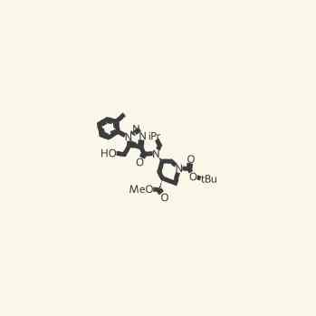 COC(=O)[C@@H]1C[C@H](N(CC(C)C)C(=O)c2nnn(-c3ccccc3C)c2CO)CN(C(=O)OC(C)(C)C)C1